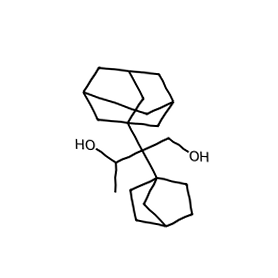 CC(O)C(CO)(C12CCC(CC1)C2)C12CC3CC(CC(C3)C1)C2